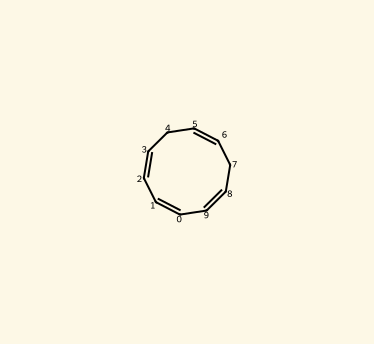 C1=CC=CCC=CCC=C1